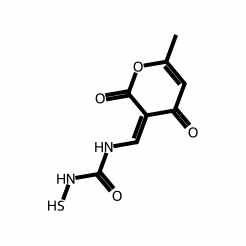 CC1=CC(=O)C(=CNC(=O)NS)C(=O)O1